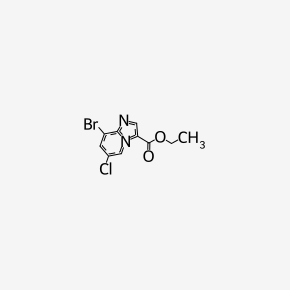 CCOC(=O)c1cnc2c(Br)cc(Cl)cn12